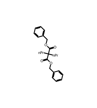 CCCC(CCC)(C(=O)OCc1ccccc1)C(=O)OCc1ccccc1